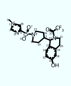 Cn1cnc(S(=O)(=O)N2CCC(C3c4ccc(O)cc4CCN3C(=O)C(F)(F)F)CC2)c1